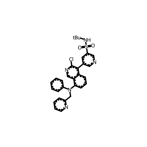 CC(C)(C)NS(=O)(=O)c1cncc(-c2c(Cl)ncc3c(N(Cc4ccccn4)c4ccccc4)cccc23)c1